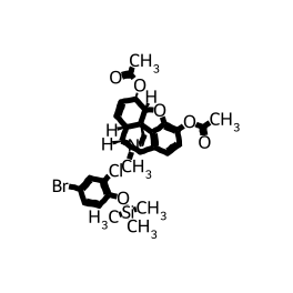 CC(=O)Oc1ccc2c3c1O[C@H]1[C@@H](OC(C)=O)C=C[C@H]4[C@@H](C2)N(C)CC[C@@]341.C[Si](C)(C)Oc1ccc(Br)cc1Cl